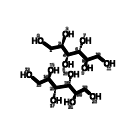 OC[C@@H](O)[C@@H](O)[C@H](O)[C@H](O)CO.OC[C@@H](O)[C@@H](O)[C@H](O)[C@H](O)CO